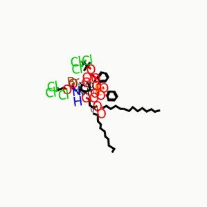 CCCCCCCCCCCCCC(=O)O[C@H](CCCCCCCCCCC)CC(=O)O[C@@H]1[C@@H](NC(=O)OCC(Cl)(Cl)Cl)[C@H](Br)O[C@H](COC(=O)OC(C)(C)C(Cl)(Cl)Cl)[C@H]1OP(=O)(Oc1ccccc1)Oc1ccccc1